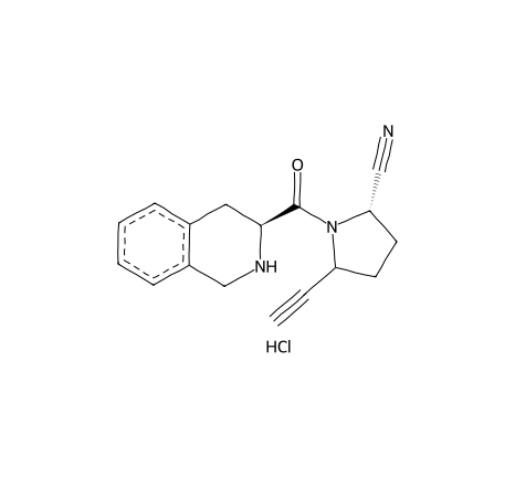 C#CC1CC[C@@H](C#N)N1C(=O)[C@@H]1Cc2ccccc2CN1.Cl